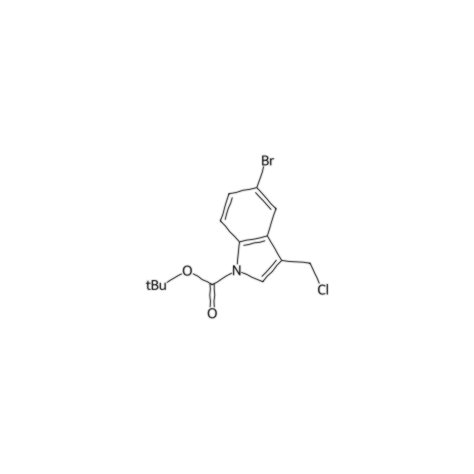 CC(C)(C)OC(=O)n1cc(CCl)c2cc(Br)ccc21